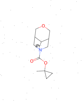 CC(C)C1C2COCC1CN(C(=O)OC1(C)CC1)C2